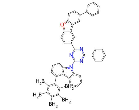 Bc1c(B)c(B)c(-c2cccc3c2c2ccccc2n3-c2nc(-c3ccccc3)nc(-c3ccc4oc5ccc(-c6ccccc6)cc5c4c3)n2)c(B)c1B